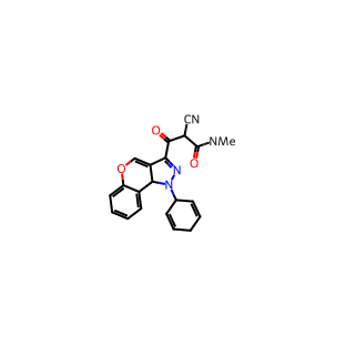 CNC(=O)C(C#N)C(=O)C1=NN(C2C=CCC=C2)C2C1=COc1ccccc12